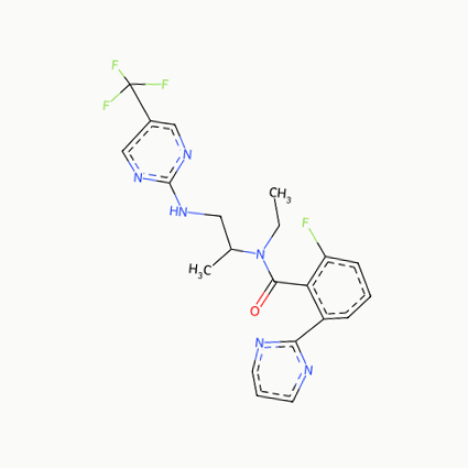 CCN(C(=O)c1c(F)cccc1-c1ncccn1)C(C)CNc1ncc(C(F)(F)F)cn1